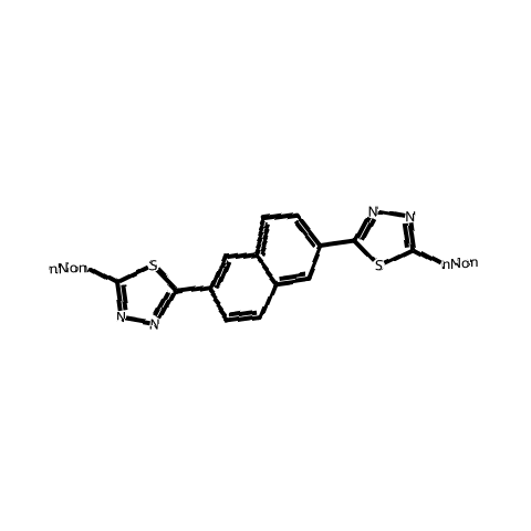 CCCCCCCCCc1nnc(-c2ccc3cc(-c4nnc(CCCCCCCCC)s4)ccc3c2)s1